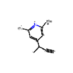 [C]#CC(C)c1cc(C(C)(C)C)nc(C(C)(C)C)c1